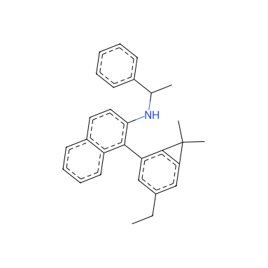 CCc1cc(-c2c(NC(C)c3ccccc3)ccc3ccccc23)c2c(c1)C2(C)C